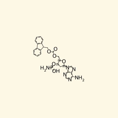 Nc1ncnc2c1ncn2[C@H]1C[C@H](OP(N)O)[C@@H](COC(=O)OCC2c3ccccc3-c3ccccc32)O1